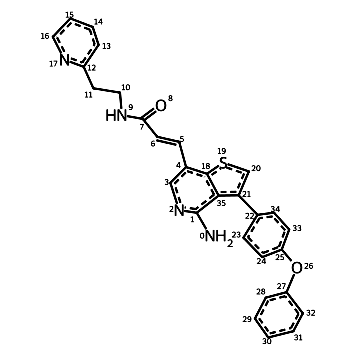 Nc1ncc(C=CC(=O)NCCc2ccccn2)c2scc(-c3ccc(Oc4ccccc4)cc3)c12